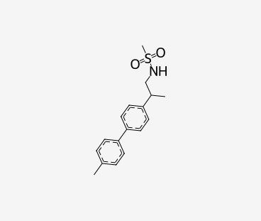 Cc1ccc(-c2ccc(C(C)CNS(C)(=O)=O)cc2)cc1